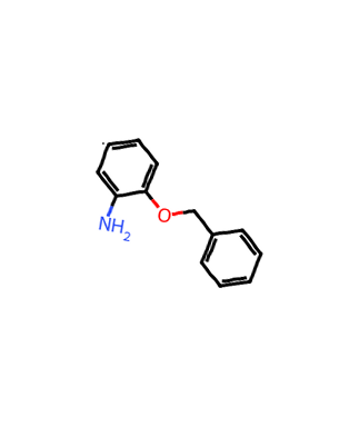 Nc1c[c]ccc1OCc1ccccc1